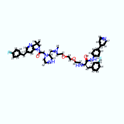 C[C@@H]1CN(CC(=O)N2CC(C)(C)c3ncc(Cc4ccc(F)cc4)cc32)[C@@H](CN(C)CCOCCOCCN[C@H](Cc2cccc(F)c2)C(=O)Nc2ccc(-c3ccncc3)cc2)CN1